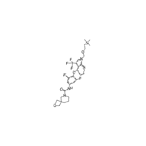 C[Si](C)(C)CCOCn1cc(C(F)(F)F)c2c(Oc3c(F)cc(NC(=O)N4CCCC5(COC5)C4)cc3F)ccnc21